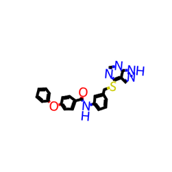 O=C(Nc1cccc(CSc2ncnc3[nH]ncc23)c1)c1ccc(Oc2ccccc2)cc1